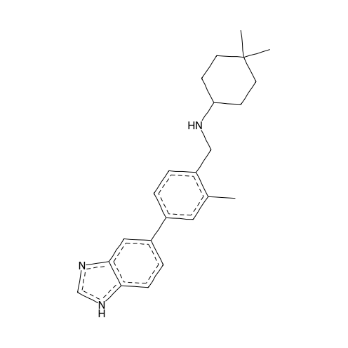 Cc1cc(-c2ccc3[nH]cnc3c2)ccc1CNC1CCC(C)(C)CC1